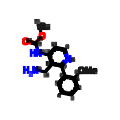 COc1ccccc1-c1nccc(NC(=O)OC(C)(C)C)c1CN